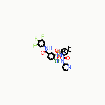 C[C@H]1C2CC(S(=O)(=O)c3cc(C(=O)Nc4cc(F)c(F)c(F)c4)ccc3Cl)CC1[C@@H]2NC(=O)Nc1cccnc1